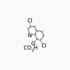 O=C(O)Oc1c(Cl)ccc2cc(Cl)cnc12